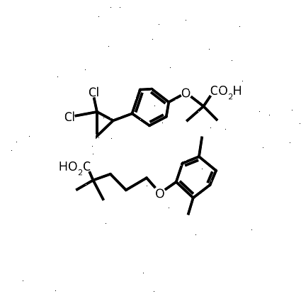 CC(C)(Oc1ccc(C2CC2(Cl)Cl)cc1)C(=O)O.Cc1ccc(C)c(OCCCC(C)(C)C(=O)O)c1